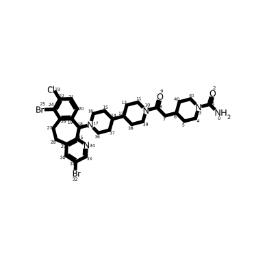 NC(=O)N1CCC(CC(=O)N2CCC(C3CCN(C4c5ccc(Cl)c(Br)c5CCc5cc(Br)cnc54)CC3)CC2)CC1